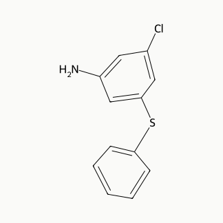 Nc1cc(Cl)cc(Sc2ccccc2)c1